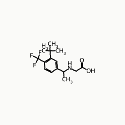 CC(NCC(=O)O)c1ccc(C(F)(F)F)c(C(C)(C)C)c1